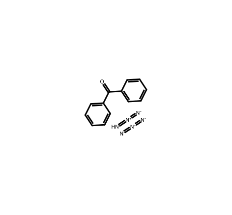 O=C(c1ccccc1)c1ccccc1.[N-]=[N+]=N.[N-]=[N+]=[N-]